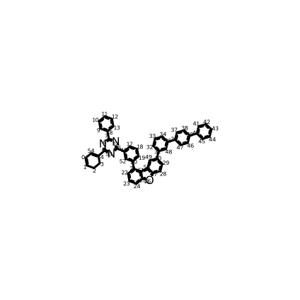 C1=CCCC(c2nc(-c3ccccc3)nc(-c3cccc(-c4cccc5oc6ccc(-c7cccc(-c8ccc(-c9ccccc9)cc8)c7)cc6c45)c3)n2)=C1